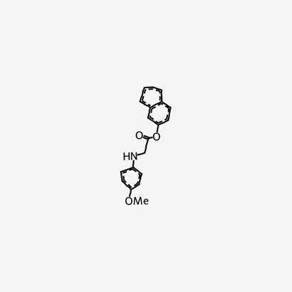 COc1ccc(NCC(=O)Oc2ccc3ccccc3c2)cc1